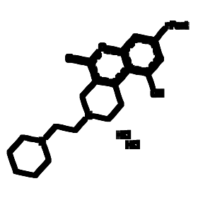 CCCCCc1cc(O)c2c3c(c(=O)oc2c1)CN(CCN1CCCCC1)CC3.Cl.Cl